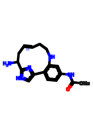 COC(=O)Nc1ccc2c(c1)NCC/C=C/CC(N)c1nc-2c[nH]1